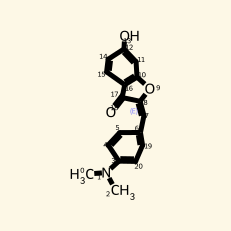 CN(C)c1ccc(/C=C2/Oc3cc(O)ccc3C2=O)cc1